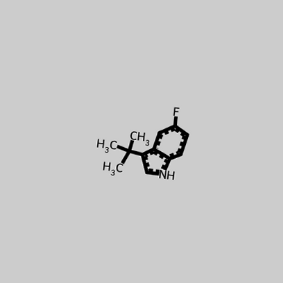 CC(C)(C)c1c[nH]c2ccc(F)cc12